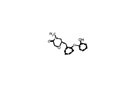 CN1CC(Cc2ccccc2Oc2ccccc2O)OCC1=O